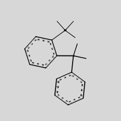 OC1(c2ccccc2)OC(C(F)(F)F)(C(F)(F)F)c2ccccc21